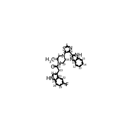 C[C@@H]1CN(c2scnc2-c2nc3ccccc3[nH]2)CCN1C(=O)Cc1c[nH]c2ccc(F)cc12